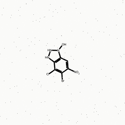 O=[N+]([O-])c1cc2c(c(Cl)c1Br)NNN2O